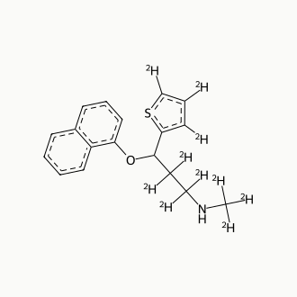 [2H]c1sc(C(Oc2cccc3ccccc23)C([2H])([2H])C([2H])([2H])NC([2H])([2H])[2H])c([2H])c1[2H]